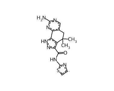 CC1(C)Cc2cnc(N)nc2-c2[nH]nc(C(=O)Nc3n[c]cs3)c21